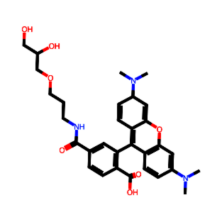 CN(C)c1ccc2c(c1)OC1=CC(N(C)C)C=CC1=C2c1cc(C(=O)NCCCOCC(O)CO)ccc1C(=O)O